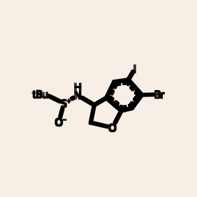 CC(C)(C)[S+]([O-])NC1COc2cc(Br)c(I)cc21